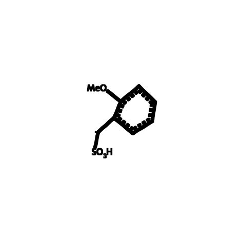 COc1ccccc1[CH]S(=O)(=O)O